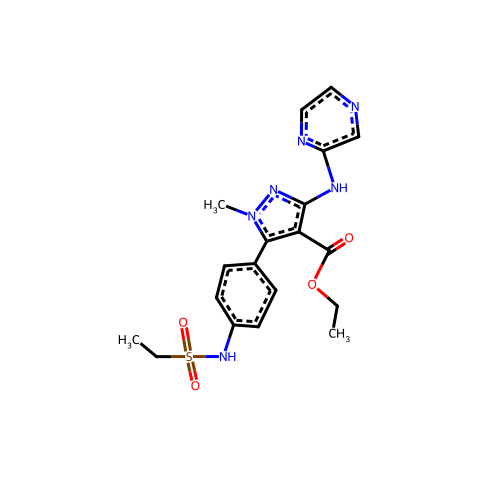 CCOC(=O)c1c(Nc2cnccn2)nn(C)c1-c1ccc(NS(=O)(=O)CC)cc1